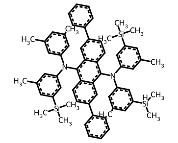 Cc1cc(C)cc(N(c2cc(C)cc([Si](C)(C)C)c2)c2c3ccc(-c4ccccc4)cc3c(N(c3cc(C)cc([SiH](C)C)c3)c3cc(C)cc([Si](C)(C)C)c3)c3ccc(-c4ccccc4)cc23)c1